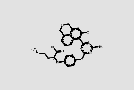 CSCC[C@H](Nc1ccc(Oc2nc(N)nc(-c3c(Cl)cc4c5c(cccc35)COC4)n2)cc1)C(=O)O